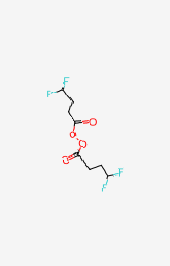 O=C(CCC(F)F)OOC(=O)CCC(F)F